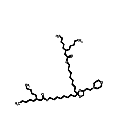 CCCCCC(CCCCC)CC(=O)OCCCCCCCCC1(CCCCCCCCOC(=O)CC(CCCCC)CCCCC)OCC(CCN2CCOCC2)O1